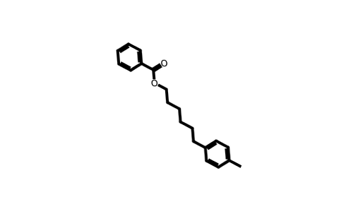 Cc1ccc(CCCCCCOC(=O)c2ccccc2)cc1